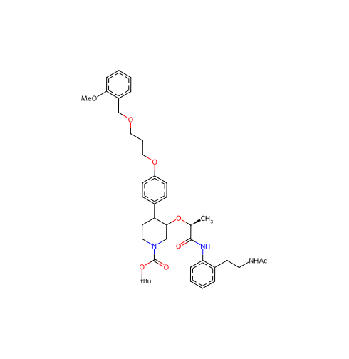 COc1ccccc1COCCCOc1ccc(C2CCN(C(=O)OC(C)(C)C)CC2O[C@@H](C)C(=O)Nc2ccccc2CCNC(C)=O)cc1